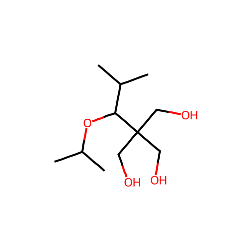 CC(C)OC(C(C)C)C(CO)(CO)CO